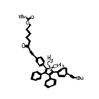 CC(C)(C)C#Cc1ccc(C2=C(c3ccccc3)C(c3ccccc3)=C(c3ccc(C#CC(=O)CCCCCOC(=O)C(C)(C)C)cc3)S2(C)C)cc1